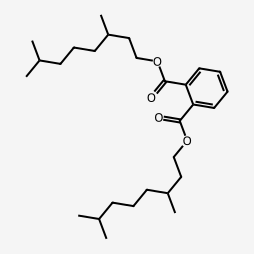 CC(C)CCCC(C)CCOC(=O)c1ccccc1C(=O)OCCC(C)CCCC(C)C